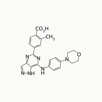 Cc1cc(-c2nc(Nc3ccc(N4CCOCC4)cc3)c3[nH]ncc3n2)ccc1C(=O)O